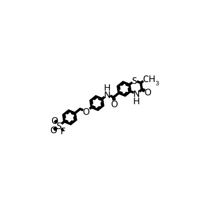 CC1Sc2ccc(C(=O)Nc3ccc(OCc4ccc(S(=O)(=O)F)cc4)cc3)cc2NC1=O